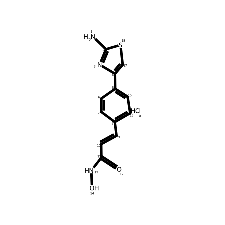 Cl.Nc1nc(-c2ccc(/C=C/C(=O)NO)cc2)cs1